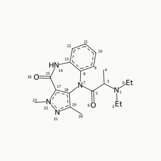 CCN(CC)C(C)C(=O)N1c2ccccc2NC(=O)c2c1c(C)nn2C